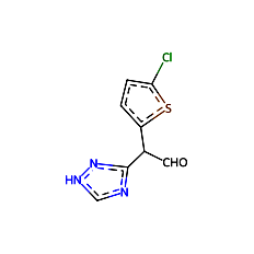 O=CC(c1nc[nH]n1)c1ccc(Cl)s1